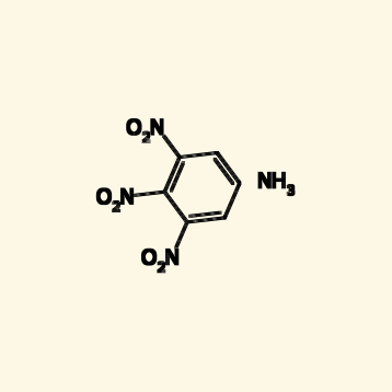 N.O=[N+]([O-])c1cccc([N+](=O)[O-])c1[N+](=O)[O-]